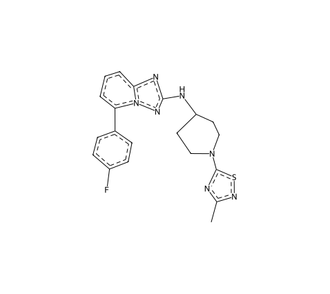 Cc1nsc(N2CCC(Nc3nc4cccc(-c5ccc(F)cc5)n4n3)CC2)n1